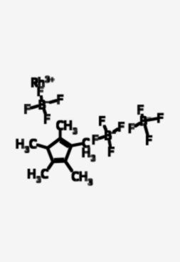 CC1=C(C)C(C)C(C)=C1C.F[B-](F)(F)F.F[B-](F)(F)F.F[B-](F)(F)F.[Rh+3]